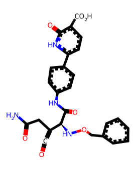 NC(=O)CC(=C=O)[C@H](NOCc1ccccc1)C(=O)Nc1ccc(-c2ccc(C(=O)O)c(=O)[nH]2)cc1